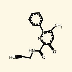 C#CCNC(=O)c1nn(-c2ccccc2)c(C)cc1=O